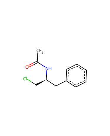 O=C(N[C@H](CCl)Cc1ccccc1)C(F)(F)F